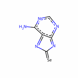 Nc1ncnc2c1=NC(=[Se])N=2